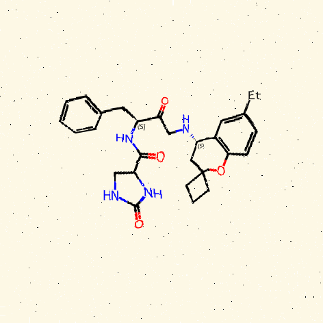 CCc1ccc2c(c1)[C@@H](NCC(=O)[C@H](Cc1ccccc1)NC(=O)C1CNC(=O)N1)CC1(CCC1)O2